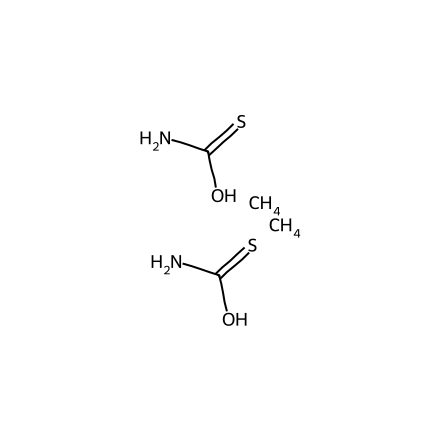 C.C.NC(O)=S.NC(O)=S